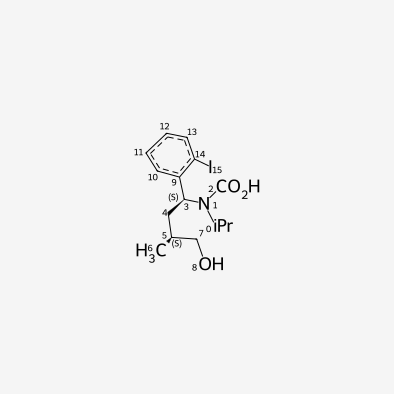 CC(C)N(C(=O)O)[C@@H](C[C@H](C)CO)c1ccccc1I